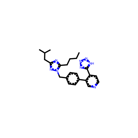 CCCCc1nc(CC(C)C)nn1Cc1ccc(-c2cnccc2-c2nnn[nH]2)cc1